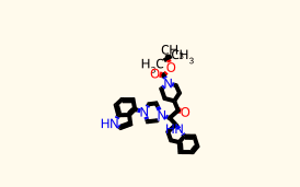 CC(C)(C)OC(=O)N1CCC(C(=O)C(C2CCc3ccccc3N2)N2CCN(c3cccc4[nH]ccc34)CC2)CC1